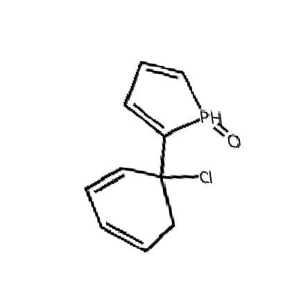 O=[PH]1C=CC=C1C1(Cl)C=CC=CC1